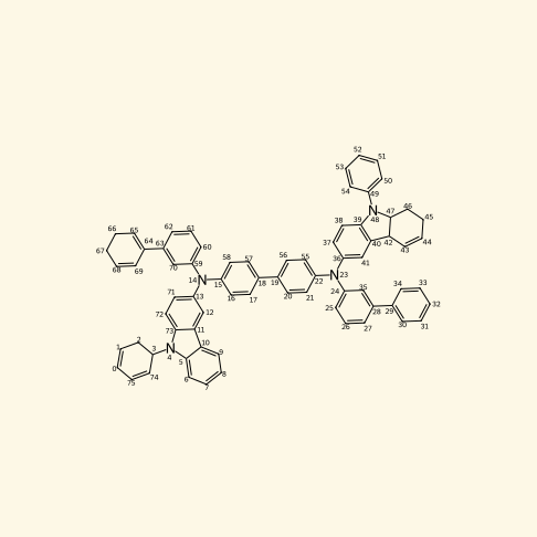 C1=CCC(n2c3ccccc3c3cc(N(c4ccc(-c5ccc(N(c6cccc(-c7ccccc7)c6)c6ccc7c(c6)C6C=CCCC6N7c6ccccc6)cc5)cc4)c4cccc(C5=CCCC=C5)c4)ccc32)C=C1